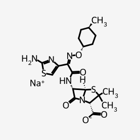 CC1(C)S[C@@H]2[C@@H](NC(=O)/C(=N\O[C@H]3CC[C@H](C)CC3)c3csc(N)n3)C(=O)N2[C@H]1C(=O)[O-].[Na+]